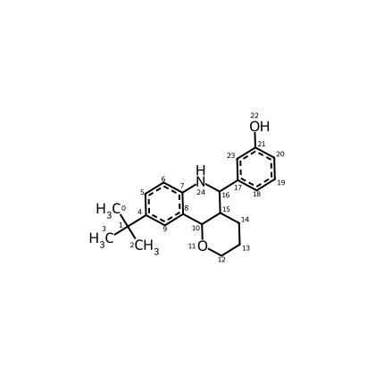 CC(C)(C)c1ccc2c(c1)C1OCCCC1C(c1cccc(O)c1)N2